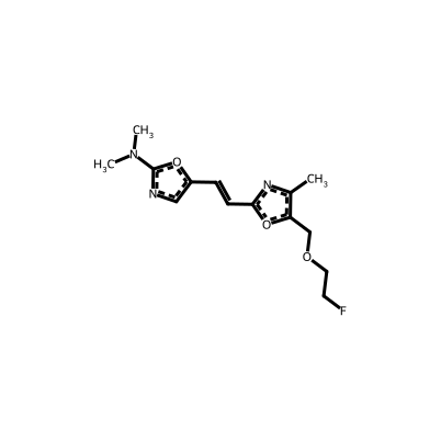 Cc1nc(C=Cc2cnc(N(C)C)o2)oc1COCCF